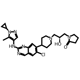 Cc1c(Nc2ncc3cc(Cl)c(C4CCN(C[C@H](O)CN5CCCC5=O)CC4)cc3n2)cnn1C1CC1